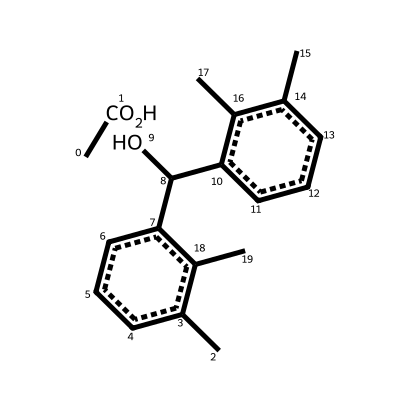 CC(=O)O.Cc1cccc(C(O)c2cccc(C)c2C)c1C